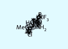 COc1cc(C(=O)NC[C@](O)(c2cc3c(c(-c4ccc(F)c(C(F)(F)F)c4)n2)OC[C@]3(C)C(N)=O)C2CC2)cc2cc(Cl)c(C)nc12